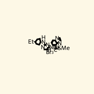 CC[C@H]1CC[C@H](Nc2ncc(Br)c(Nc3ccc4nccnc4c3N(C)SC)n2)CC1